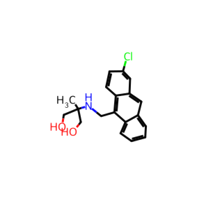 CC(CO)(CO)NCc1c2ccccc2cc2cc(Cl)ccc12